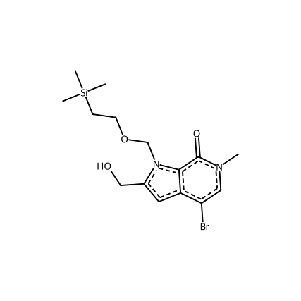 Cn1cc(Br)c2cc(CO)n(COCC[Si](C)(C)C)c2c1=O